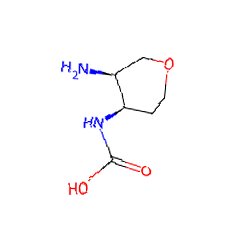 N[C@H]1COCC[C@H]1NC(=O)O